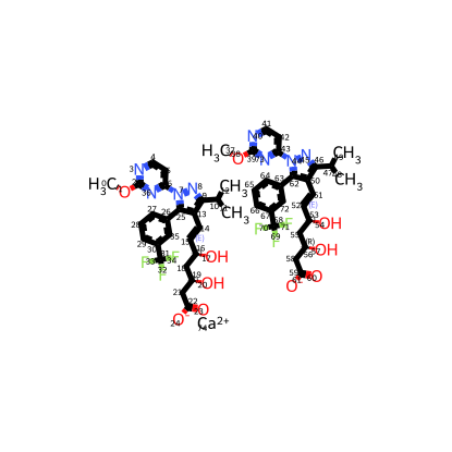 COc1nccc(-n2nc(C(C)C)c(/C=C/[C@@H](O)C[C@@H](O)CC(=O)[O-])c2-c2cccc(C(F)(F)F)c2)n1.COc1nccc(-n2nc(C(C)C)c(/C=C/[C@@H](O)C[C@@H](O)CC(=O)[O-])c2-c2cccc(C(F)(F)F)c2)n1.[Ca+2]